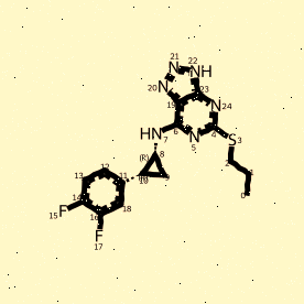 CCCSc1nc(N[C@@H]2C[C@@H]2c2ccc(F)c(F)c2)c2nn[nH]c2n1